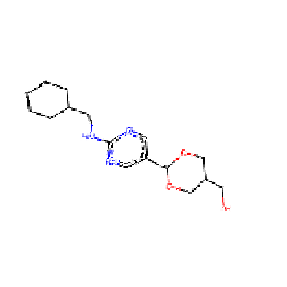 OCC1COC(c2cnc(NCC3CCCCC3)nc2)OC1